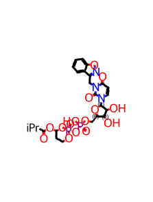 CC(C)C(=O)OC1CCOP(=O)(OP(=O)(O)OC[C@H]2O[C@@H](n3ccc(=O)n(Cc4noc5ccccc45)c3=O)C(O)[C@H]2O)O1